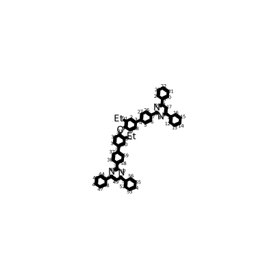 CCc1cc(-c2ccc(-c3nc(-c4ccccc4)cc(-c4ccccc4)n3)cc2)ccc1Oc1ccc(-c2ccc(-c3nc(-c4ccccc4)cc(-c4ccccc4)n3)cc2)cc1CC